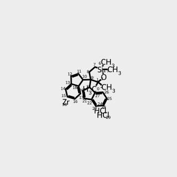 CC1(C)O[Si](C)(C)CCC1(C1C=Cc2ccccc21)C1C=Cc2ccccc21.Cl.Cl.[Zr]